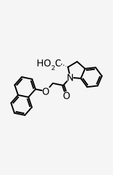 O=C(O)[C@@H]1Cc2ccccc2N1C(=O)COc1cccc2ccccc12